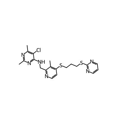 Cc1nc(C)c(Cl)c(NCc2nccc(SCCCSc3ncccn3)c2C)n1